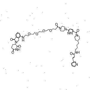 O=C(/C=C/c1cccnc1)NCCCCC1CCN(C(=O)c2ccc(N3CCN(C(=O)CCOCCOCCOCCOCCNc4cccc5c4CN(C4CCC(=O)NC4=O)C5=O)CC3)nn2)CC1